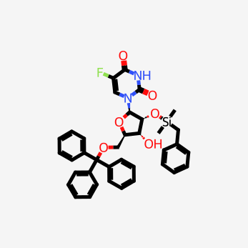 C[Si](C)(Cc1ccccc1)O[C@@H]1[C@H](O)[C@@H](COC(c2ccccc2)(c2ccccc2)c2ccccc2)O[C@H]1n1cc(F)c(=O)[nH]c1=O